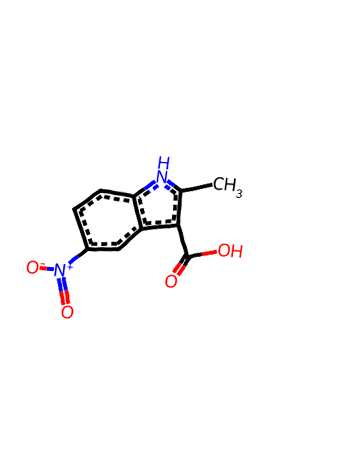 Cc1[nH]c2ccc([N+](=O)[O-])cc2c1C(=O)O